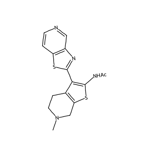 CC(=O)Nc1sc2c(c1-c1nc3cnccc3s1)CCN(C)C2